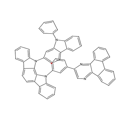 c1ccc(-n2c3ccccc3c3ccc(-n4c5ccccc5c5ccc6c7ccccc7n(-c7cccc(-c8cnc9c%10ccccc%10c%10ccccc%10c9n8)c7)c6c54)cc32)cc1